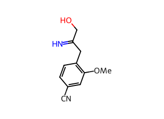 COc1cc(C#N)ccc1CC(=N)CO